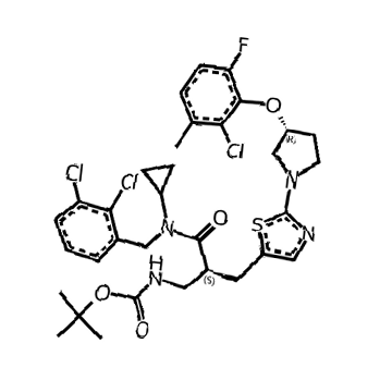 Cc1ccc(F)c(O[C@@H]2CCN(c3ncc(C[C@@H](CNC(=O)OC(C)(C)C)C(=O)N(Cc4cccc(Cl)c4Cl)C4CC4)s3)C2)c1Cl